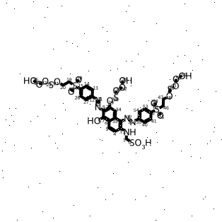 O=S(=O)(O)CNc1ccc2c(O)c(/N=N/c3ccc(S(=O)(=O)CCOSOOO)cc3)c(OSOOO)cc2c1/N=N/c1ccc(S(=O)(=O)CCOSOOO)cc1